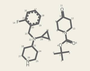 CC(C)(C)OC(=O)N1CCC(=O)CC1.Fc1ccccc1CN(C1CCNCC1)C1CC1